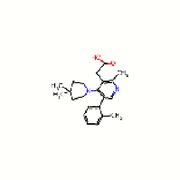 Cc1ccccc1-c1cnc(C)c(CC(=O)O)c1N1CCC(C)(C)CC1